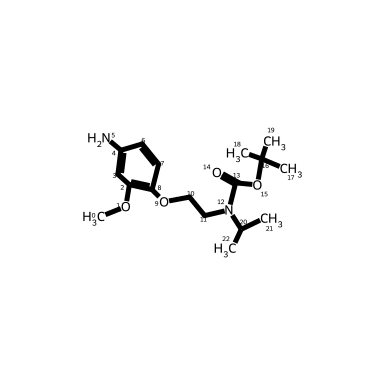 COc1cc(N)ccc1OCCN(C(=O)OC(C)(C)C)C(C)C